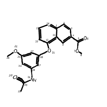 C=c1ccc(C(=O)OC)c/c1=C(/C=C\C)Oc1cc(NC(C)=O)cc(OC)c1